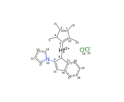 CC1=C(C)C(C)[C]([Hf+2][CH]2C(n3cccc3)=Cc3ccccc32)=C1C.[Cl-].[Cl-]